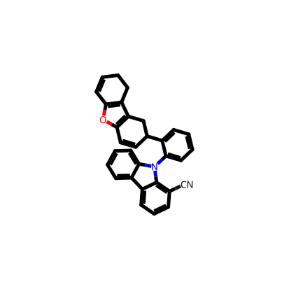 N#Cc1cccc2c3ccccc3n(-c3ccccc3C3C=Cc4oc5c(c4C3)CCC=C5)c12